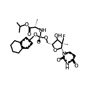 CC(C)OC(=O)[C@H](C)NP(=O)(OC[C@H]1O[C@@H](n2ccc(=O)[nH]c2=O)[C@](C)(F)[C@@H]1O)Oc1ccc2c(c1)CCCC2